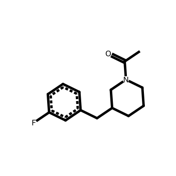 CC(=O)N1CCCC(Cc2cccc(F)c2)C1